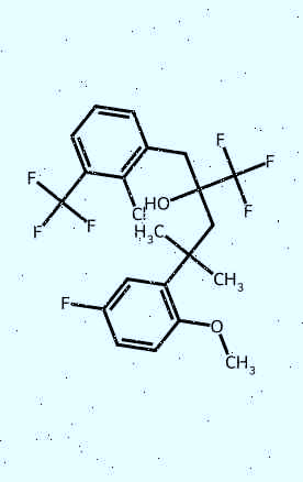 COc1ccc(F)cc1C(C)(C)CC(O)(Cc1cccc(C(F)(F)F)c1Cl)C(F)(F)F